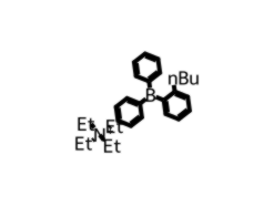 CCCCc1ccccc1B(c1ccccc1)c1ccccc1.CC[N+](CC)(CC)CC